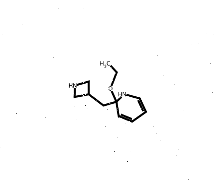 CCOC1(CC2CNC2)C=CC=CN1